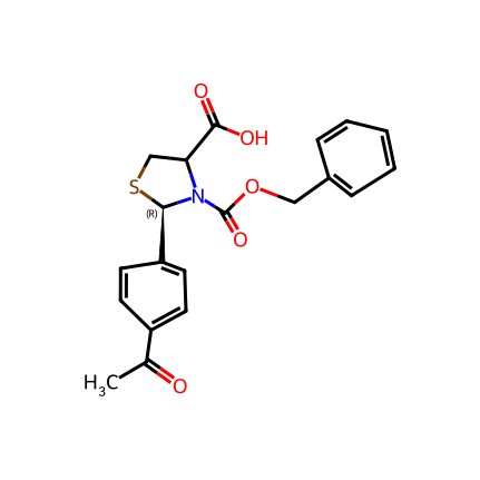 CC(=O)c1ccc([C@H]2SCC(C(=O)O)N2C(=O)OCc2ccccc2)cc1